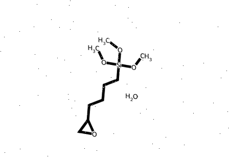 CO[Si](CCCCC1CO1)(OC)OC.O